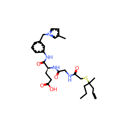 C=CCC(C)(CCC)SCC(=O)NCC(=O)N[C@@H](CCC(=O)O)C(=O)Nc1cccc(Cn2ccc(C)c2)c1